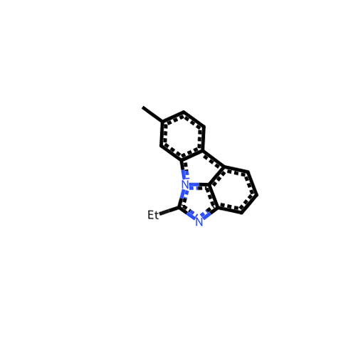 CCc1nc2cccc3c4ccc(C)cc4n1c23